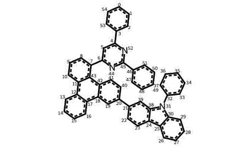 c1ccc(-c2cc(-c3cccc4c5ccccc5c5cc(-c6ccc7c8ccccc8n(-c8ccccc8)c7c6)ccc5c34)nc(-c3ccccc3)n2)cc1